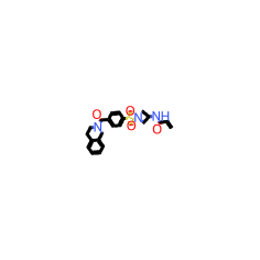 C=CC(=O)NC1CN(S(=O)(=O)c2ccc(C(=O)N3CCc4ccccc4C3)cc2)C1